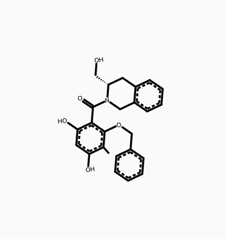 Cc1c(O)cc(O)c(C(=O)N2Cc3ccccc3C[C@H]2CO)c1OCc1ccccc1